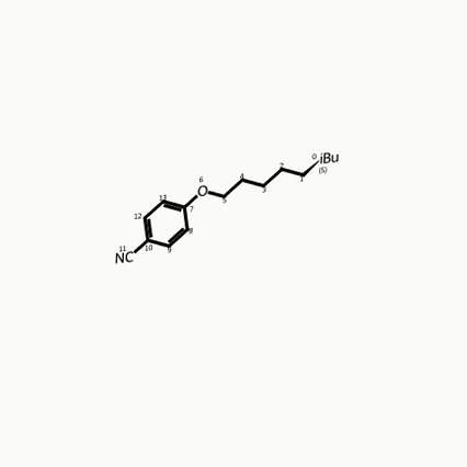 CC[C@H](C)CCCCCOc1ccc(C#N)cc1